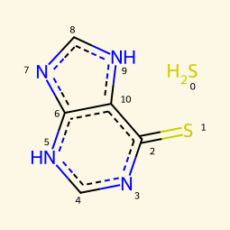 S.S=c1nc[nH]c2nc[nH]c12